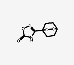 O=c1[nH]c(C23CCC(CC2)CC3)no1